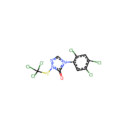 O=c1n(-c2cc(Cl)c(Cl)cc2Cl)cnn1SC(Cl)(Cl)Cl